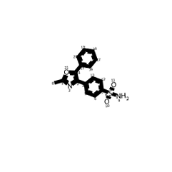 Cc1nc(-c2ccc(S(N)(=O)=O)cc2)c(-c2ccccc2)o1